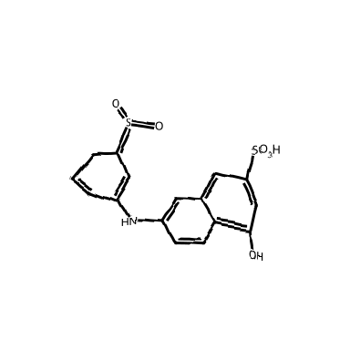 O=S(=O)=C1C=C(Nc2ccc3c(O)cc(S(=O)(=O)O)cc3c2)C=CC1